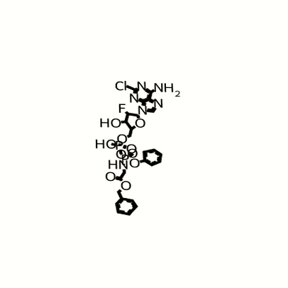 Nc1nc(Cl)nc2c1ncn2C1OC(COP(=O)(O)OP(=O)(NCC(=O)OCc2ccccc2)Oc2ccccc2)C(O)C1F